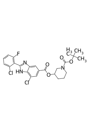 CC(C)(C)OC(=O)N1CCCC(OC(=O)c2cc(Cl)c3[nH]c(-c4c(F)cccc4Cl)nc3c2)C1